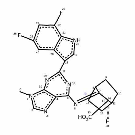 Cn1cnc2c(/N=C3\C4CCC(CC4)[C@H]3C(=O)O)nc(-c3c[nH]c4c(F)cc(F)cc34)nc21